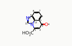 O=C(O)c1cc(=O)c2cccc3ncn1c32